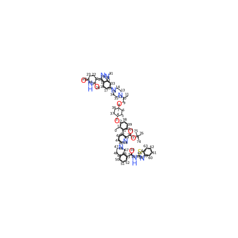 Cc1c(OC2CCC(OC[C@H](C)N3CCN(c4ccc5c(C6CCC(=O)NC6=O)nn(C)c5c4)CC3)CC2)cccc1-c1ccc(N2CCc3cccc(C(=O)Nc4nc5ccccc5s4)c3C2)nc1C(=O)OC(C)(C)C